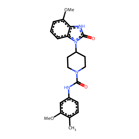 COc1cc(NC(=O)N2CCC(n3c(=O)[nH]c4c(OC)cccc43)CC2)ccc1C